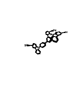 N#Cc1ccc2c(c1)c1ccccc1n2-c1ccc(-c2cccc(-c3cccc(C#N)c3-n3c4ccccc4c4cc(C#N)ccc43)c2)cc1